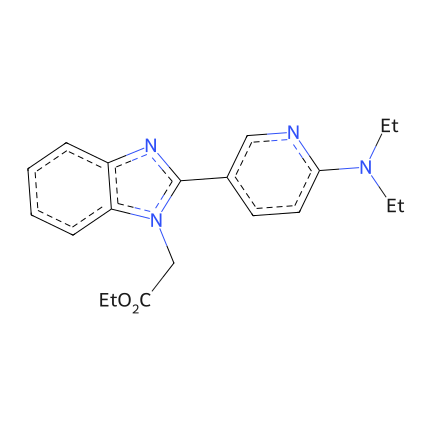 CCOC(=O)Cn1c(-c2ccc(N(CC)CC)nc2)nc2ccccc21